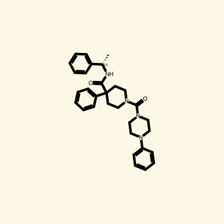 C[C@H](NC(=O)C1(c2ccccc2)CCN(C(=O)N2CCN(c3ccccc3)CC2)CC1)c1ccccc1